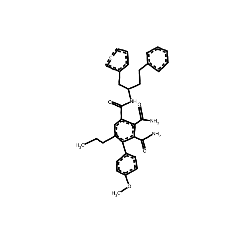 C[CH]Cc1cc(C(=O)NC(CCc2ccccc2)Cc2ccccc2)c(C(N)=O)c(C(N)=O)c1-c1ccc(OC)cc1